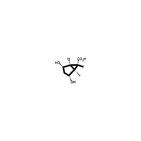 C[C@]12[C@H](O)C[C@H](O)[C@H]1[C@]2(F)C(=O)O